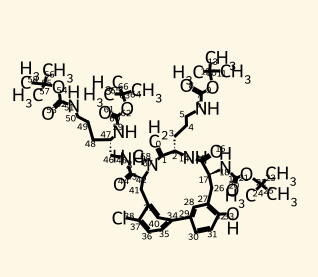 C=C1[C@H](CCCNC(=O)OC(C)(C)C)NC(=O)[C@@H](NC(=O)OC(C)(C)C)Cc2cc(ccc2O)-c2ccc(Cl)c(c2)C[C@@H](C(=O)NC[C@H](CCCNC(=O)OC(C)(C)C)NC(=O)OC(C)(C)C)N1C